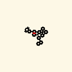 CC1(C)CCC(C)(C)c2cc(-c3ccc(-c4cc5c(cc4N(c4ccccc4)c4ccc(-c6cccc7ccccc67)cc4)C4(c6ccccc6-c6ccccc64)c4ccccc4-5)cc3)ccc21